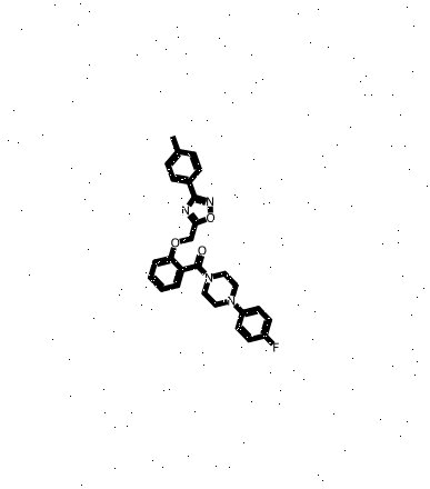 Cc1ccc(-c2noc(COc3ccccc3C(=O)N3CCN(c4ccc(F)cc4)CC3)n2)cc1